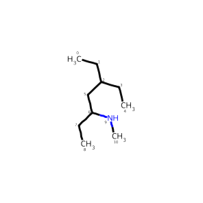 CCC(CC)CC(CC)NC